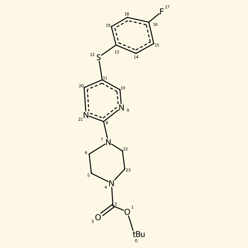 CC(C)(C)OC(=O)N1CCN(c2ncc(Sc3ccc(F)cc3)cn2)CC1